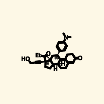 CCC(=O)[C@@]1(C#CCO)CC[C@H]2[C@@H]3CCC4=CC(=O)CCC4=C3[C@@H](c3ccc(N(C)C)cc3)C[C@@]21C